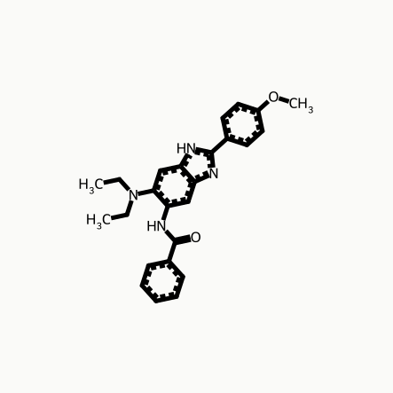 CCN(CC)c1cc2[nH]c(-c3ccc(OC)cc3)nc2cc1NC(=O)c1ccccc1